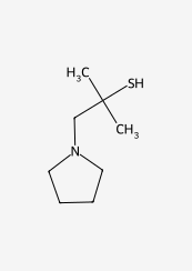 CC(C)(S)CN1CCCC1